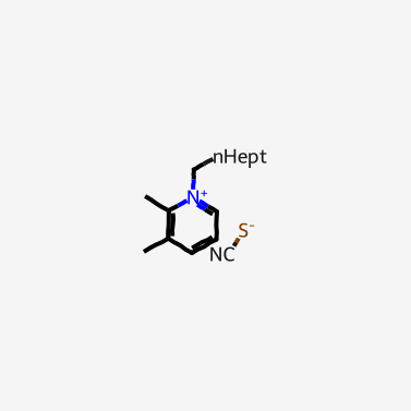 CCCCCCCC[n+]1cccc(C)c1C.N#C[S-]